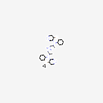 C1CC1.CC(C[N+](C)(C)CC(C)N1c2ccccc2Sc2ccncc21)N1c2ccccc2Sc2ccncc21